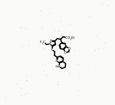 CCOC(=O)CC(Cc1cc(SCCc2ccc3c(n2)NCCC3)n(CC(F)(F)F)n1)c1ccc2c(c1)OCO2